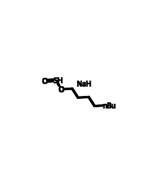 CCCCCCCCO[SH]=O.[NaH]